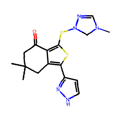 CN1C=NN(Sc2sc(-c3cc[nH]n3)c3c2C(=O)CC(C)(C)C3)C1